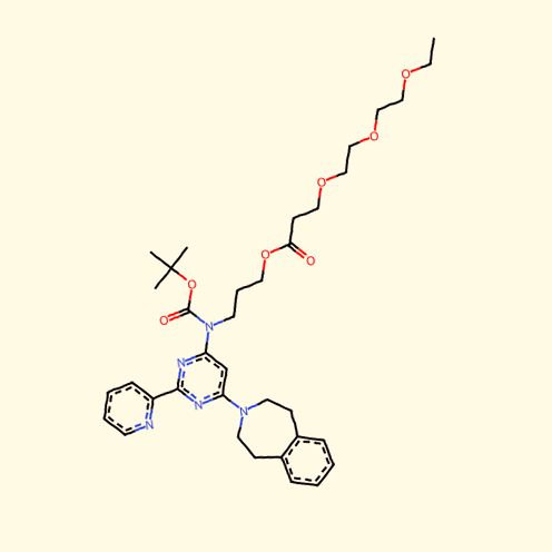 CCOCCOCCOCCC(=O)OCCCN(C(=O)OC(C)(C)C)c1cc(N2CCc3ccccc3CC2)nc(-c2ccccn2)n1